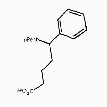 CCCCCC(CCCC(=O)O)c1ccccc1